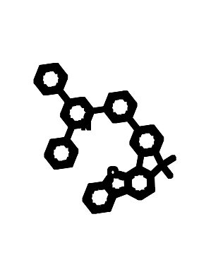 CC1(C)c2ccc(-c3cccc(-c4cc(-c5ccccc5)cc(-c5ccccc5)n4)c3)cc2-c2c1ccc1c2oc2ccccc21